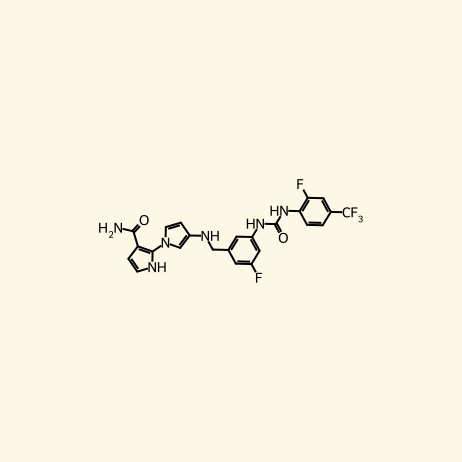 NC(=O)c1cc[nH]c1-n1ccc(NCc2cc(F)cc(NC(=O)Nc3ccc(C(F)(F)F)cc3F)c2)c1